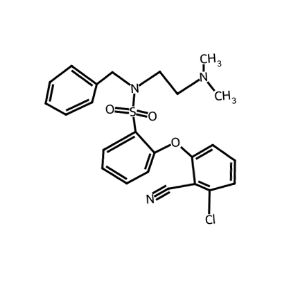 CN(C)CCN(Cc1ccccc1)S(=O)(=O)c1ccccc1Oc1cccc(Cl)c1C#N